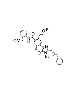 CCOC=Cc1nc(-n2nc(COCc3ccccc3)n(CC)c2=O)c(F)cc1C(=O)Nc1ccccc1OC